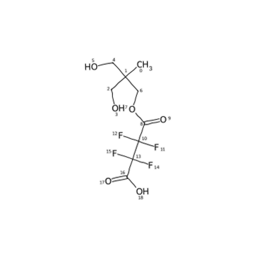 CC(CO)(CO)COC(=O)C(F)(F)C(F)(F)C(=O)O